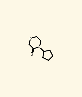 O=C1COCCN1C1CCCC1